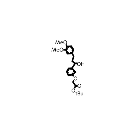 COc1ccc(CC[C@@H](O)c2cccc(OCC(=O)OC(C)(C)C)c2)cc1OC